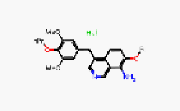 CCCOc1c(OC)cc(Cc2cncc3c(N)c(OCC)ccc23)cc1OC.Cl